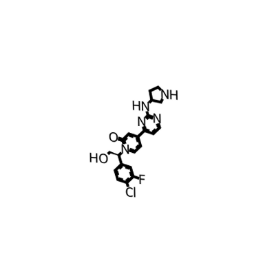 O=c1cc(-c2ccnc(NC3CCNC3)n2)ccn1[C@H](CO)c1ccc(Cl)c(F)c1